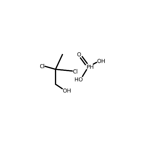 CC(Cl)(Cl)CO.O=[PH](O)O